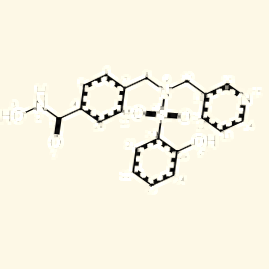 O=C(NO)c1ccc(CN(Cc2cccnc2)S(=O)(=O)c2ccccc2O)cc1